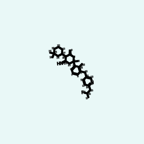 C=C1CC(C)(c2cccc(Cc3ccc(CC(C)F)nc3)c2C)CC(=N)C1C1CCCC(C)(C)C1